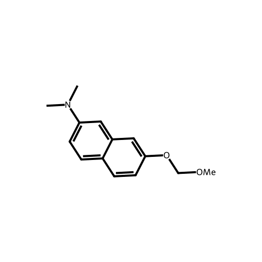 COCOc1ccc2ccc(N(C)C)cc2c1